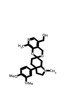 COc1ccc(C23CCN(C)C2CC2(CC3)OCc3c(CO)cnc(C)c3O2)cc1OC